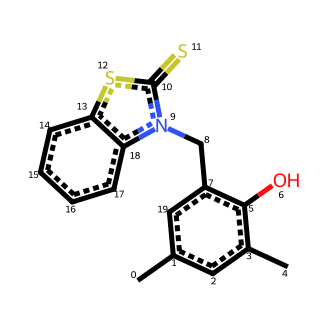 Cc1cc(C)c(O)c(Cn2c(=S)sc3ccccc32)c1